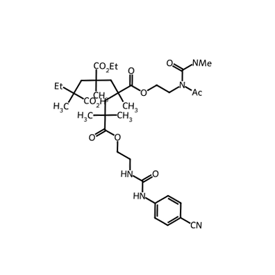 CCOC(=O)C(C)(CC(C)(CC)C(=O)O)CC(C)(CC(C)(C)C(=O)OCCNC(=O)Nc1ccc(C#N)cc1)C(=O)OCCN(C(C)=O)C(=O)NC